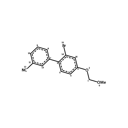 COCOc1ccc(-c2cccc(C#N)c2)c(Br)c1